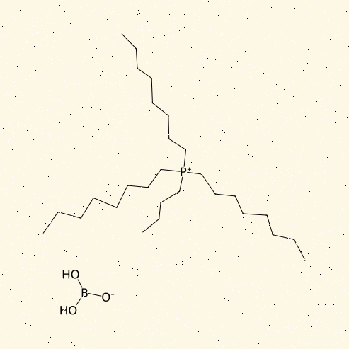 CCCCCCCC[P+](CCCC)(CCCCCCCC)CCCCCCCC.[O-]B(O)O